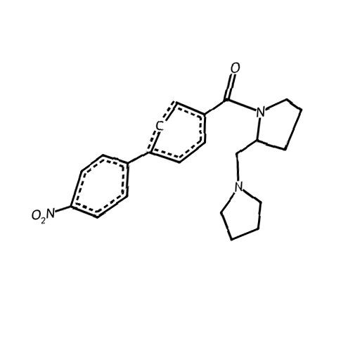 O=C(c1ccc(-c2ccc([N+](=O)[O-])cc2)cc1)N1CCCC1CN1CCCC1